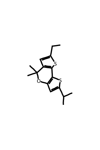 CCc1cc2c(s1)-c1sc(C(C)C)cc1OC2(C)C